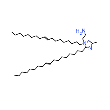 CCCCCCCCC=CCCCCCCCCC1=NC(C)C[N+]1(CCN)CCCCCCCCC=CCCCCCCCC